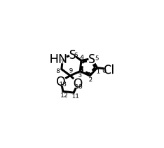 Clc1cc2c(s1)SNCC21OCCO1